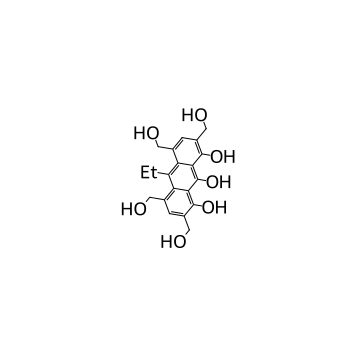 CCc1c2c(CO)cc(CO)c(O)c2c(O)c2c(O)c(CO)cc(CO)c12